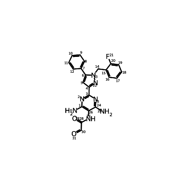 Nc1nc(-c2cc(-c3ccccc3)n(Cc3ccccc3F)n2)nc(N)c1NC(=O)C=O